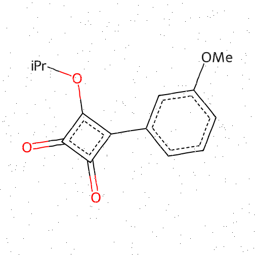 COc1cccc(-c2c(OC(C)C)c(=O)c2=O)c1